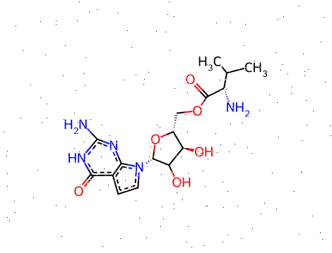 CC(C)[C@H](N)C(=O)OC[C@H]1O[C@@H](n2ccc3c(=O)[nH]c(N)nc32)C(O)[C@@H]1O